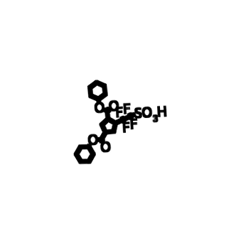 O=C(OC1CCCCC1)C1CC(C(=O)OC2CCCCC2)C(C(F)(F)C(F)(F)S(=O)(=O)O)C1